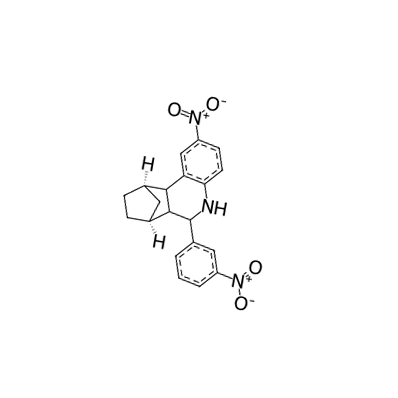 O=[N+]([O-])c1cccc(C2Nc3ccc([N+](=O)[O-])cc3C3C2[C@H]2CC[C@@H]3C2)c1